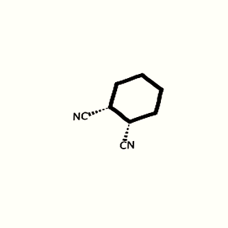 N#C[C@@H]1CCCC[C@@H]1C#N